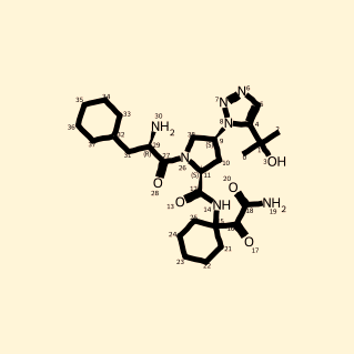 CC(C)(O)c1cnnn1[C@H]1C[C@@H](C(=O)NC2(C(=O)C(N)=O)CCCCC2)N(C(=O)[C@H](N)CC2CCCCC2)C1